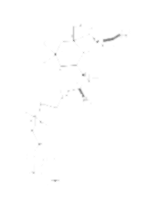 CCOP(=O)([O-])OCC[N+](C)(C)CCOC(=O)NC1CC(C)(C)CC(C)(CN=C=O)C1